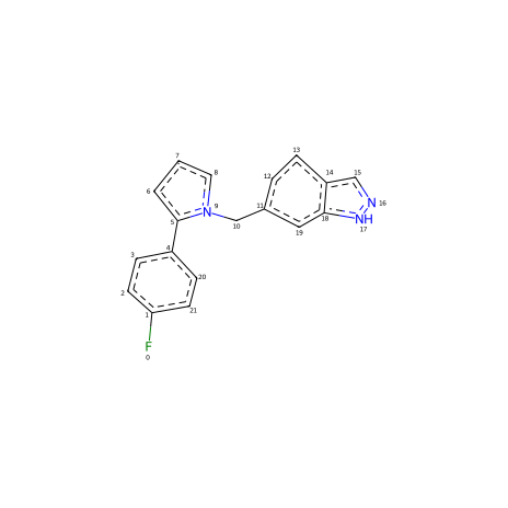 Fc1ccc(-c2c[c]cn2Cc2ccc3cn[nH]c3c2)cc1